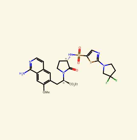 CCOC(=O)[C@@H](Cc1cc2ccnc(N)c2cc1OC)N1CC[C@H](NS(=O)(=O)c2cnc(N3CCC(F)(F)C3)s2)C1=O